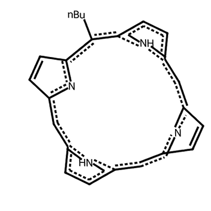 CCCCc1c2nc(cc3ccc(cc4nc(cc5ccc1[nH]5)C=C4)[nH]3)C=C2